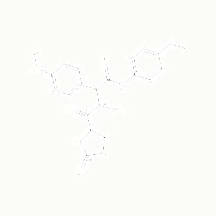 CCc1ccc(NC(=O)C(c2ccc(OC)cc2)N(N)C(=O)C2CCC(=O)C2)cc1